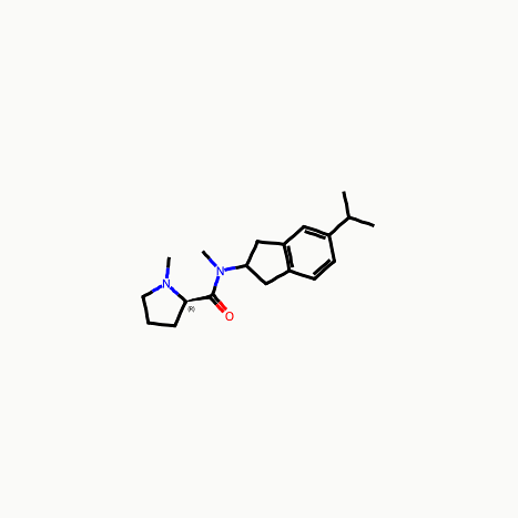 CC(C)c1ccc2c(c1)CC(N(C)C(=O)[C@H]1CCCN1C)C2